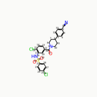 N#Cc1ccc(C2CCN(C(=O)c3ccc(Cl)c(NS(=O)(=O)c4ccc(Cl)cc4)c3)CC2)cc1